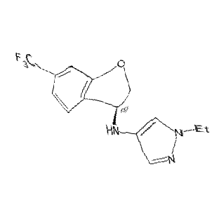 CCn1cc(N[C@@H]2COc3cc(C(F)(F)F)ccc32)cn1